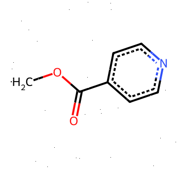 [CH2]OC(=O)c1ccncc1